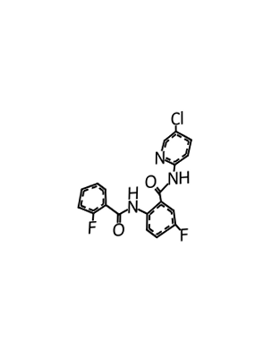 O=C(Nc1ccc(F)cc1C(=O)Nc1ccc(Cl)cn1)c1ccccc1F